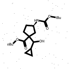 CCCCOC(=O)C1(C(O)C2CC2)CC[C@@H](NC(=O)OC(C)(C)C)C1